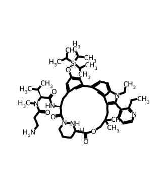 CCc1ncccc1-c1c2c3cc(ccc3n1CC)-c1cc(cc(O[Si](C(C)C)(C(C)C)C(C)C)c1)C[C@H](NC(=O)[C@H](C(C)C)N(C)C(=O)CCN)C(=O)N1CCC[C@H](N1)C(=O)OCC(C)(C)C2